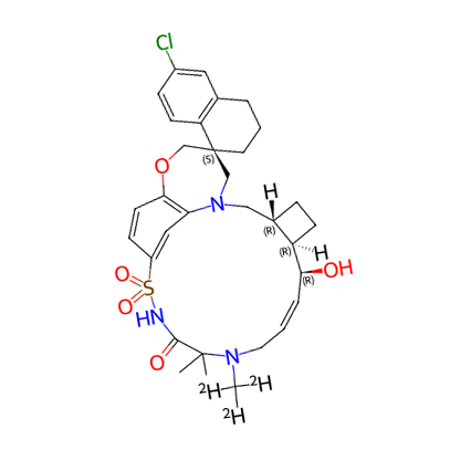 [2H]C([2H])([2H])N1CC=C[C@H](O)[C@@H]2CC[C@H]2CN2C[C@@]3(CCCc4cc(Cl)ccc43)COc3ccc(cc32)S(=O)(=O)NC(=O)C1(C)C